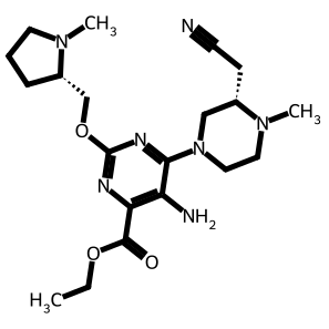 CCOC(=O)c1nc(OC[C@@H]2CCCN2C)nc(N2CCN(C)[C@@H](CC#N)C2)c1N